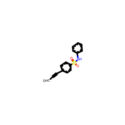 O=CC#Cc1ccc(S(=O)(=O)Nc2ccccc2)cc1